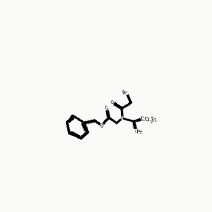 CCOC(=O)C(C(C)C)N(CC(=O)OCc1ccccc1)C(=O)CBr